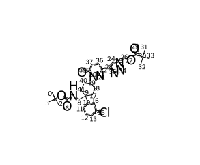 CC(C)(C)OC(=O)NCC1(c2cccc(Cl)c2)CCC(n2nc(-c3cn(COC(=O)C(C)(C)C)nn3)ccc2=O)CC1